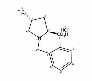 Cl.O=C(O)[C@@H]1C[C@@H](C(F)(F)F)CN1Cc1ccccc1